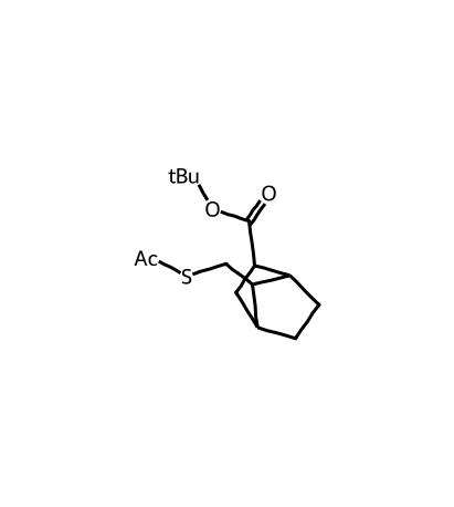 CC(=O)SCC1C2CCC1C(C(=O)OC(C)(C)C)C2